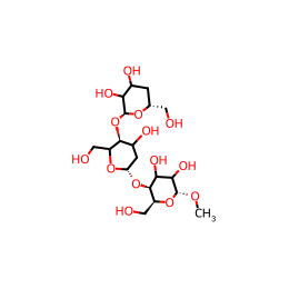 CO[C@@H]1O[C@@H](CO)[C@@H](O[C@H]2CC(O)[C@H](O[C@@H]3O[C@@H](CO)CC(O)C3O)C(CO)O2)C(O)C1O